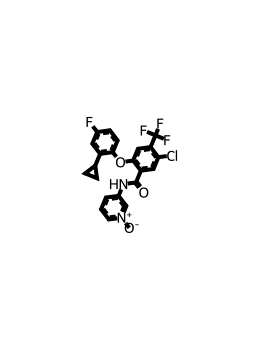 O=C(Nc1ccc[n+]([O-])c1)c1cc(Cl)c(C(F)(F)F)cc1Oc1ccc(F)cc1C1CC1